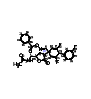 CC(=O)NC[C@H]1CN(C2(/C=N/OC(=O)c3ccccc3)C=C(F)C(c3cccc(F)c3)C(F)=C2)C(=O)O1